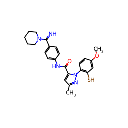 COc1ccc(-n2nc(C)cc2C(=O)Nc2ccc(C(=N)N3CCCCC3)cc2)c(S)c1